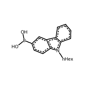 CCCCCCn1c2ccccc2c2cc(B(O)O)ccc21